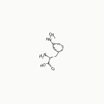 CNc1cccc(CC(N)C(=O)O)c1